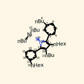 CCCCCCC1=C(c2cccc(CCCC)c2)[N+](=[N-])C(c2cccc(CCCCCC)c2)=C1CCCC.CCC[CH2][Ni][CH2]CCC